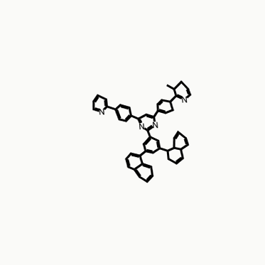 CC1CC=CN=C1C1C=CC(c2cc(-c3ccc(-c4ccccn4)cc3)nc(-c3cc(-c4cccc5ccccc45)cc(C4CC=CC5C=CC=CC54)c3)n2)=CC1